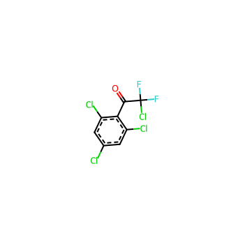 O=C(c1c(Cl)cc(Cl)cc1Cl)C(F)(F)Cl